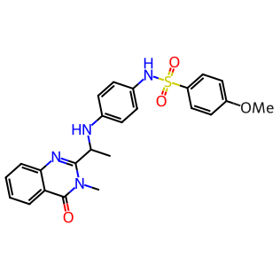 COc1ccc(S(=O)(=O)Nc2ccc(NC(C)c3nc4ccccc4c(=O)n3C)cc2)cc1